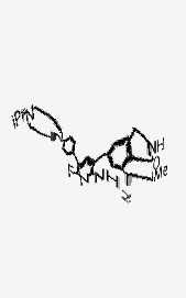 CNc1cc(-c2cc(-c3ccc(N4CCN(C(C)C)CC4)cc3)c(F)nc2N)cc2c1C(=O)NCC2